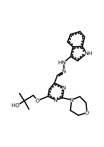 CC(C)(O)COc1cc(C=NNc2c[nH]c3ccccc23)nc(N2CCOCC2)n1